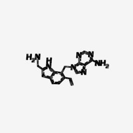 C=Cc1ccc2cc(CN)[nH]c2c1Cn1cnc2c(N)ncnc21